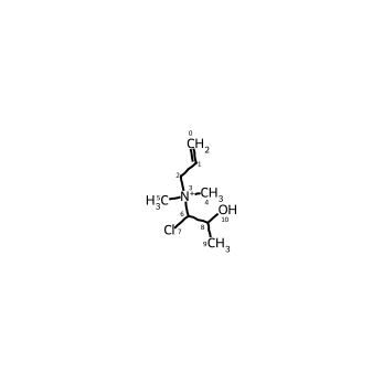 C=CC[N+](C)(C)C(Cl)C(C)O